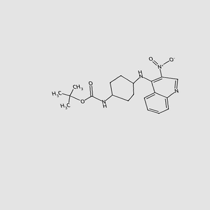 CC(C)(C)OC(=O)NC1CCC(Nc2c([N+](=O)[O-])cnc3ccccc23)CC1